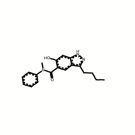 CCCCc1n[nH]c2cc(O)c(C(=O)N(C)c3ccccc3)cc12